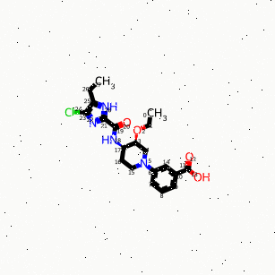 CCO[C@H]1CN(c2cccc(C(=O)O)c2)CC[C@H]1NC(=O)c1nc(Cl)c(CC)[nH]1